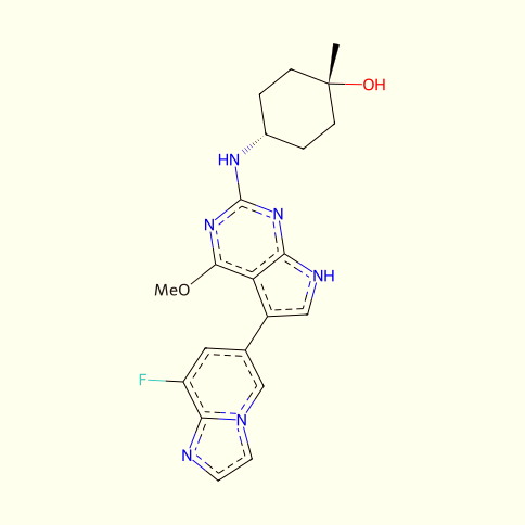 COc1nc(N[C@H]2CC[C@@](C)(O)CC2)nc2[nH]cc(-c3cc(F)c4nccn4c3)c12